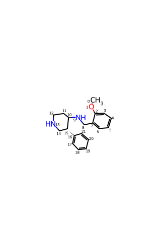 COc1ccccc1CN[C@@H]1CCNC[C@H]1c1ccccc1